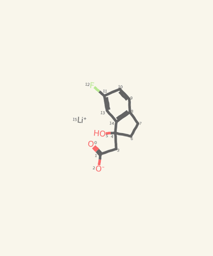 O=C([O-])CC1(O)CCc2ccc(F)cc21.[Li+]